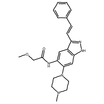 COCC(=O)Nc1cc2c(C=Cc3ccccc3)n[nH]c2cc1N1CCN(C)CC1